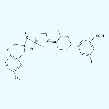 CC1CC(c2cc(F)cc(C(=O)O)c2)CCN1[C@@H]1CC[C@@](C(=O)N2COc3ccc(C(F)(F)F)cc3C2)(C(C)C)C1